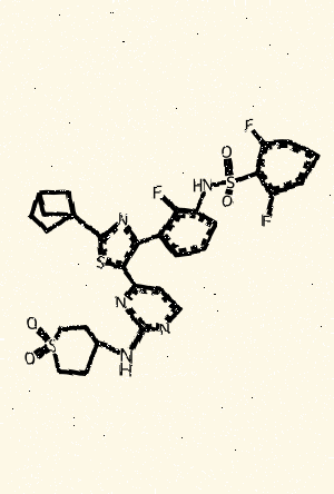 O=S1(=O)CCC(Nc2nccc(-c3sc(C45CCC(C4)C5)nc3-c3cccc(NS(=O)(=O)c4c(F)cccc4F)c3F)n2)CC1